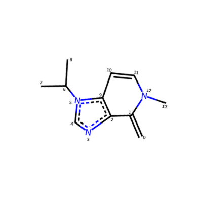 C=C1c2ncn(C(C)C)c2C=CN1C